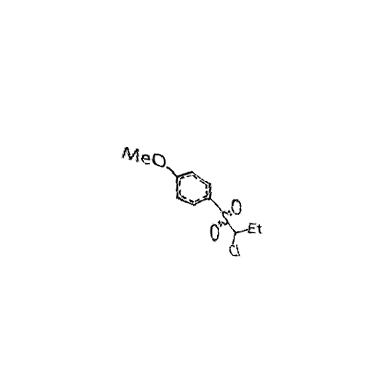 CCC(Cl)S(=O)(=O)c1ccc(OC)cc1